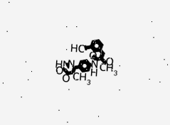 C#Cc1cccc(C=C(C(C)=O)C(=O)Nc2ccc(C3=NNC(=O)C(=O)C3C)cc2)c1